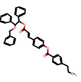 CCCc1ccc(C(=O)Oc2ccc(C=CC(=O)OC(c3ccccc3)C(OCc3cc[c]cc3)c3ccccc3)cc2)cc1